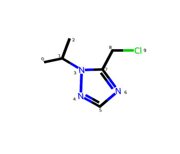 CC(C)n1ncnc1CCl